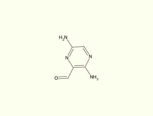 Nc1cnc(N)c(C=O)n1